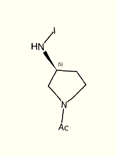 CC(=O)N1CC[C@H](NI)C1